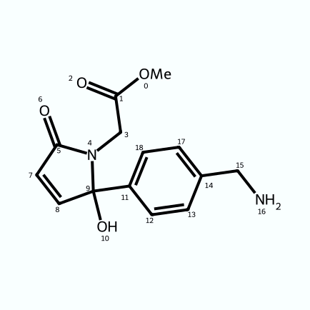 COC(=O)CN1C(=O)C=CC1(O)c1ccc(CN)cc1